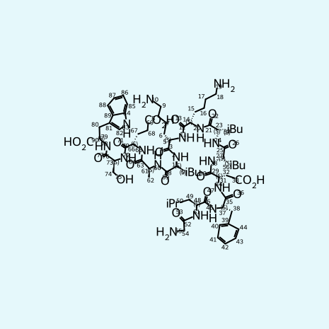 CC[C@H](C)[C@H](NC(=O)[C@H](CCCCN)NC(=O)[C@H](CCCCN)NC(=O)[C@@H](NC(=O)[C@@H](NC(=O)[C@H](CC(=O)O)NC(=O)[C@H](Cc1ccccc1)NC(=O)[C@H](CC(C)C)NC(=O)CN)[C@@H](C)CC)[C@@H](C)CC)C(=O)N[C@@H](C)C(=O)N[C@@H](CCC(=O)O)C(=O)N[C@@H](CO)C(=O)N[C@@H](Cc1c[nH]c2ccccc12)C(=O)O